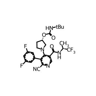 C[C@H](NC(=O)c1cnc(C#N)c(-c2cc(F)cc(F)c2)c1N1CC[C@H](OC(=O)NC(C)(C)C)C1)C(F)(F)F